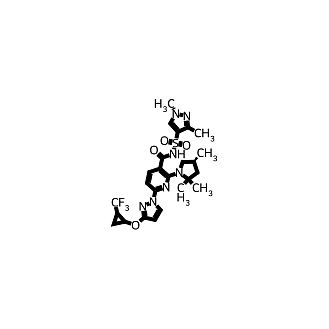 Cc1nn(C)cc1S(=O)(=O)NC(=O)c1ccc(-n2ccc(OC3CC3C(F)(F)F)n2)nc1N1C[C@@H](C)CC1(C)C